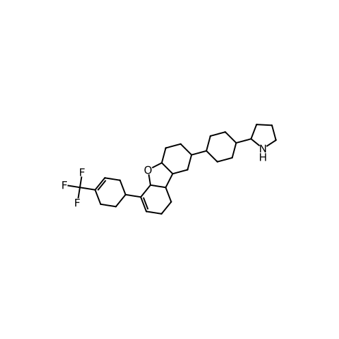 FC(F)(F)C1=CCC(C2=CCCC3C2OC2CCC(C4CCC(C5CCCN5)CC4)CC23)CC1